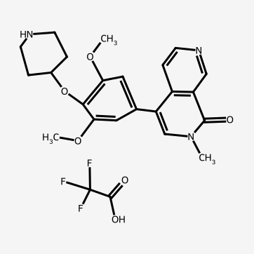 COc1cc(-c2cn(C)c(=O)c3cnccc23)cc(OC)c1OC1CCNCC1.O=C(O)C(F)(F)F